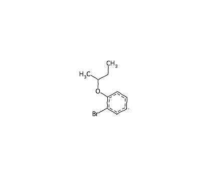 CCC(C)Oc1cc[c]cc1Br